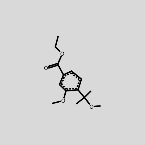 CCOC(=O)c1ccc(C(C)(C)OC)c(OC)c1